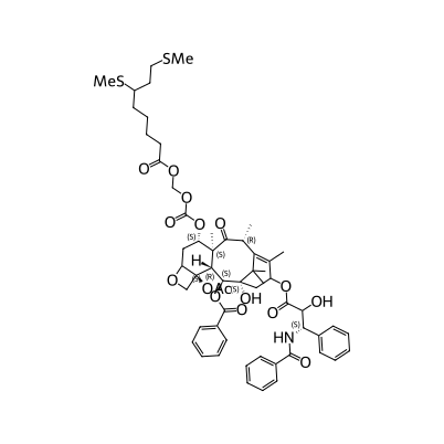 CSCCC(CCCCC(=O)OCOC(=O)O[C@H]1CC2OC[C@@]2(OC(C)=O)[C@H]2[C@H](OC(=O)c3ccccc3)[C@]3(O)CC(OC(=O)C(O)[C@@H](NC(=O)c4ccccc4)c4ccccc4)C(C)=C([C@@H](C)C(=O)[C@]12C)C3(C)C)SC